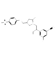 CC1CC(COc2ccc(S(C)(=O)=O)cc2)CN1CC(CO)c1cc(Cl)cc(C#N)c1